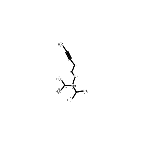 CC#CCCO[SiH](C(C)C)C(C)C